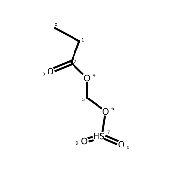 CCC(=O)OCO[SH](=O)=O